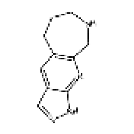 c1n[nH]c2nc3c(cc12)CCCNC3